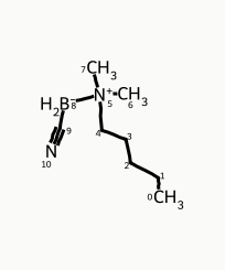 CCCCC[N+](C)(C)[BH2-]C#N